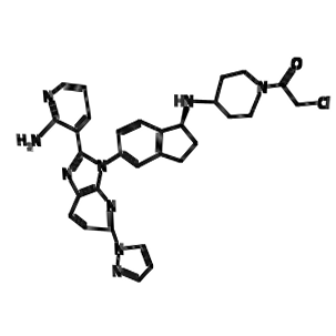 Nc1ncccc1-c1nc2ccc(-n3cccn3)nc2n1-c1ccc2c(c1)CC[C@@H]2NC1CCN(C(=O)CCl)CC1